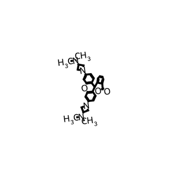 CN(C)C1CN(c2ccc3c(c2)Oc2cc(N4CC(N(C)C)C4)ccc2C32OC(=O)c3ccccc32)C1